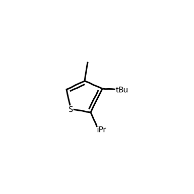 Cc1csc(C(C)C)c1C(C)(C)C